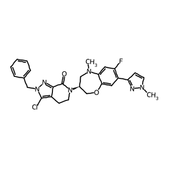 CN1C[C@H](N2CCc3c(nn(Cc4ccccc4)c3Cl)C2=O)COc2cc(-c3ccn(C)n3)c(F)cc21